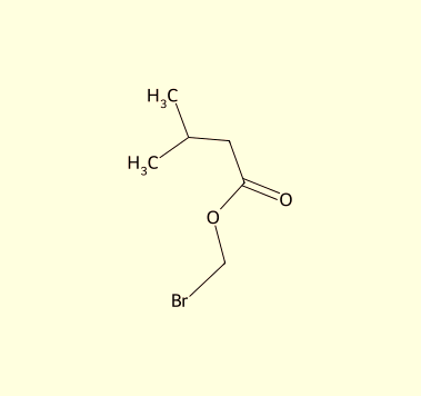 CC(C)CC(=O)OCBr